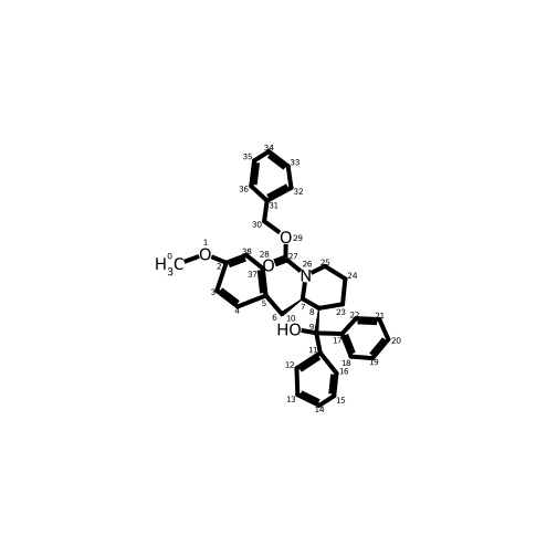 COc1ccc(C[C@@H]2[C@H](C(O)(c3ccccc3)c3ccccc3)CCCN2C(=O)OCc2ccccc2)cc1